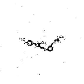 COC(=O)CSCc1cccc(OCCc2nc(-c3ccc(SC)cc3)oc2C)c1